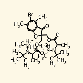 Cc1cc2c(c(C)c1Br)C(=O)C(COC(=O)C(C)N([SiH](C)C)C(C)(C)C)(COC(=O)C(C)N([SiH](C)C)C(C)(C)C)O2